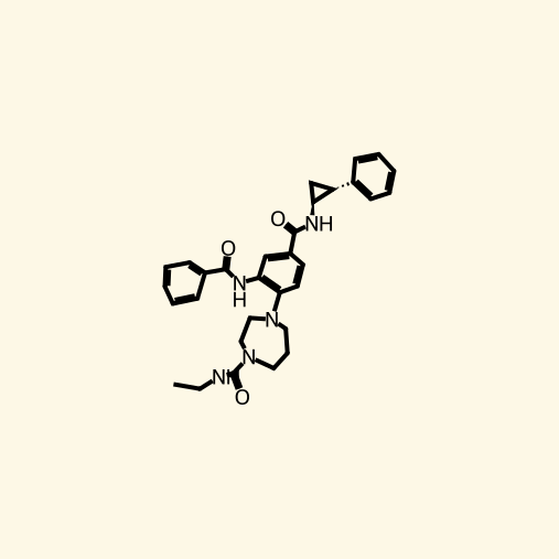 CCNC(=O)N1CCCN(c2ccc(C(=O)N[C@H]3C[C@@H]3c3ccccc3)cc2NC(=O)c2ccccc2)CC1